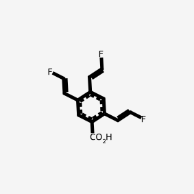 O=C(O)c1cc(C=CF)c(C=CF)cc1C=CF